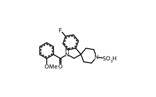 COc1ccccc1C(=O)NCC1(c2ccc(F)cc2)CCN(S(=O)(=O)O)CC1